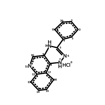 Cl.c1ccc(C2=NNc3c(cnc4ccccc34)N2)cc1